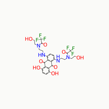 O=C1c2c(O)ccc(O)c2C(=O)c2c(NCCN(CCO)C(=O)C(F)(F)F)ccc(NCCN(CCO)C(=O)C(F)(F)F)c21